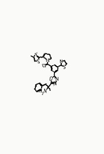 Cc1csc(C2CCCN2C(=O)c2cc(-c3nnc(C(C)(N)Cc4ccccc4)o3)cc(-c3nccs3)c2)n1